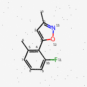 Cc1cc(-c2c(C)cccc2F)on1